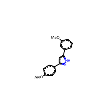 COc1ccc(-c2cc(-c3cccc(OC)c3)[nH]n2)cc1